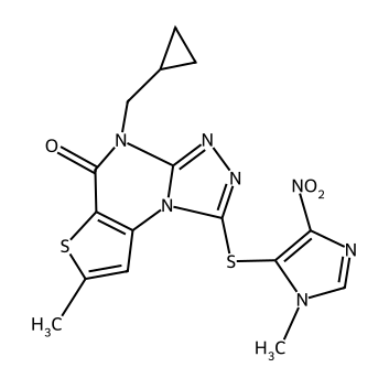 Cc1cc2c(s1)c(=O)n(CC1CC1)c1nnc(Sc3c([N+](=O)[O-])ncn3C)n21